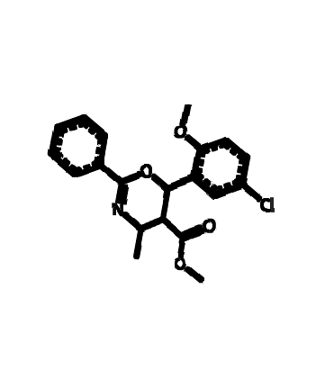 COC(=O)C1C(C)N=C(c2ccccc2)OC1c1cc(Cl)ccc1OC